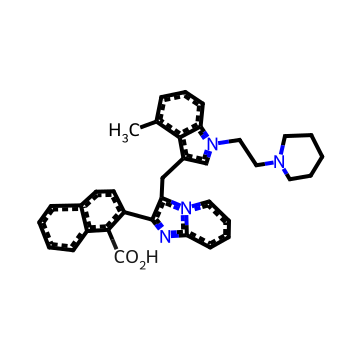 Cc1cccc2c1c(Cc1c(-c3ccc4ccccc4c3C(=O)O)nc3ccccn13)cn2CCN1CCCCC1